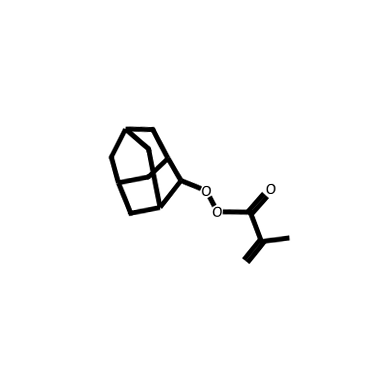 C=C(C)C(=O)OOC1C2CC3CC(C2)CC1C3